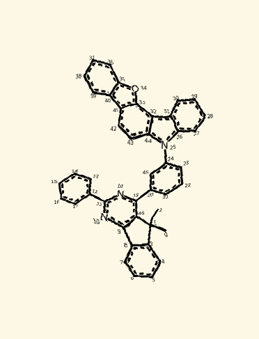 CC1(C)c2ccccc2-c2nc(-c3ccccc3)nc(-c3cccc(-n4c5ccccc5c5c6oc7ccccc7c6ccc54)c3)c21